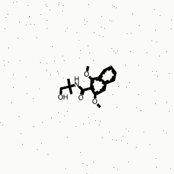 COc1cc2ccccc2c(OC)c1C(=O)NC(C)(C)CO